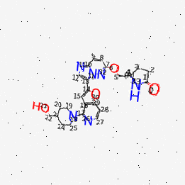 O=C1CC[C@H](COc2ccc3ncc(-c4cc5c(N6CCC(CO)CC6)nccc5o4)n3n2)N1